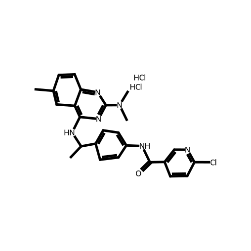 Cc1ccc2nc(N(C)C)nc(NC(C)c3ccc(NC(=O)c4ccc(Cl)nc4)cc3)c2c1.Cl.Cl